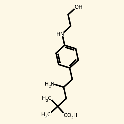 CC(C)(CC(N)Cc1ccc(NCCO)cc1)C(=O)O